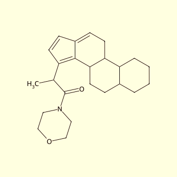 CC(C(=O)N1CCOCC1)C1=C2C(=CCC3C2CCC2CCCCC23)C=C1